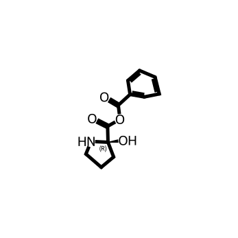 O=C(OC(=O)[C@]1(O)CCCN1)c1ccccc1